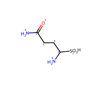 NC(=O)CCC(N)S(=O)(=O)O